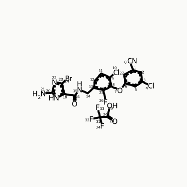 N#Cc1cc(Cl)cc(Oc2c(Cl)ccc(CNC(=O)c3[nH]c(N)nc3Br)c2F)c1.O=C(O)C(F)(F)F